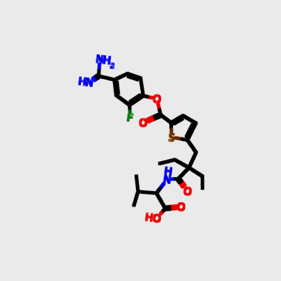 CCC(CC)(Cc1ccc(C(=O)Oc2ccc(C(=N)N)cc2F)s1)C(=O)NC(C(=O)O)C(C)C